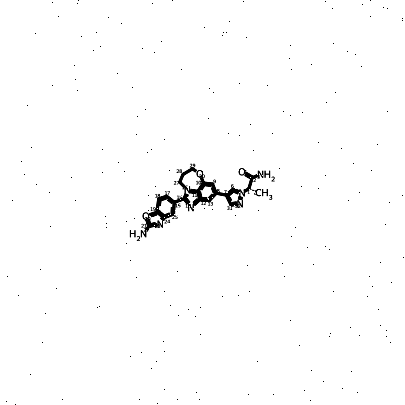 C[C@@H](C(N)=O)n1cc(-c2cc3c4c(c2)nc(-c2ccc5oc(N)nc5c2)n4CCCO3)cn1